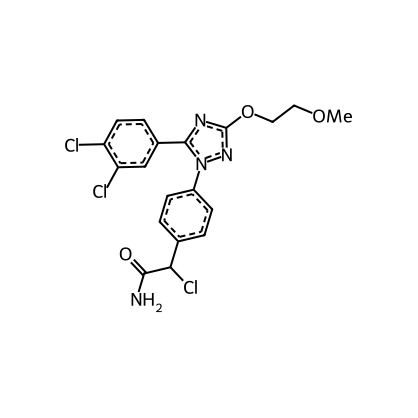 COCCOc1nc(-c2ccc(Cl)c(Cl)c2)n(-c2ccc(C(Cl)C(N)=O)cc2)n1